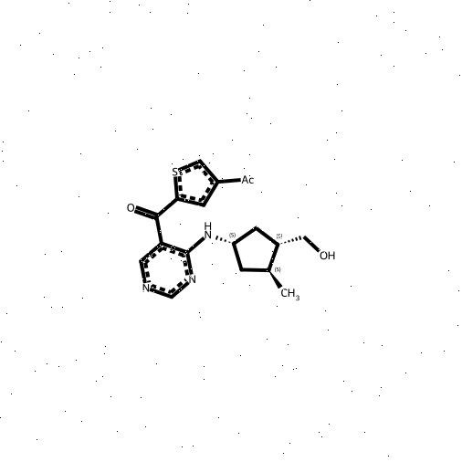 CC(=O)c1csc(C(=O)c2cncnc2N[C@@H]2C[C@H](CO)[C@@H](C)C2)c1